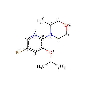 CC(C)Oc1cc(Br)cnc1N1CCOCC1C